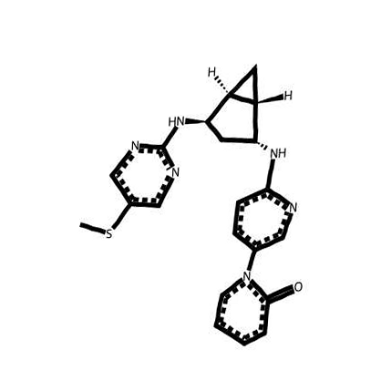 CSc1cnc(N[C@@H]2C[C@@H](Nc3ccc(-n4ccccc4=O)cn3)[C@H]3C[C@@H]32)nc1